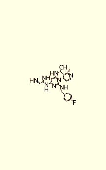 CC(Nc1cc(NC(=N)C=N)nc(NCc2ccc(F)cc2)n1)c1cccnc1